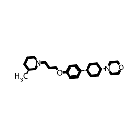 C[C@H]1CCCN(CCCOc2ccc([C@H]3CC[C@H](N4CCOCC4)CC3)cc2)C1